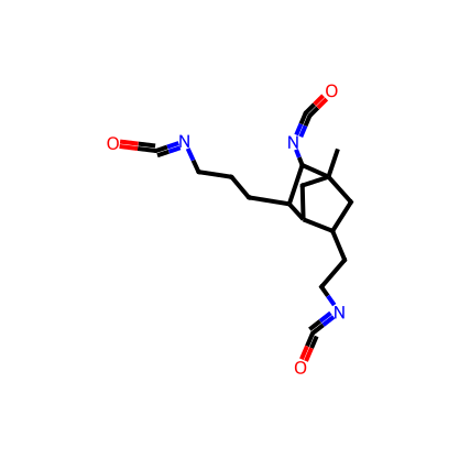 CC12CC(CCN=C=O)C(C1)C(CCCN=C=O)C2N=C=O